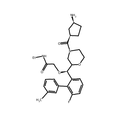 CCNC(=O)CO[C@H](c1cccc(F)c1-c1cccc(C)c1)C1CN(C(=O)[C@@H]2CC[C@H](N)C2)CCO1